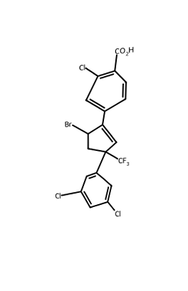 O=C(O)c1ccc(C2=CC(c3cc(Cl)cc(Cl)c3)(C(F)(F)F)CC2Br)cc1Cl